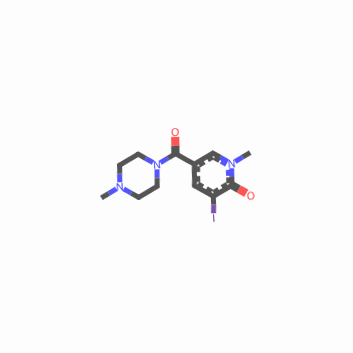 CN1CCN(C(=O)c2cc(I)c(=O)n(C)c2)CC1